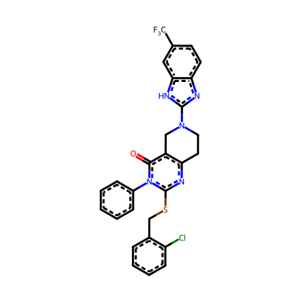 O=c1c2c(nc(SCc3ccccc3Cl)n1-c1ccccc1)CCN(c1nc3ccc(C(F)(F)F)cc3[nH]1)C2